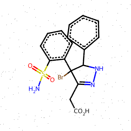 NS(=O)(=O)c1ccccc1C1(Br)C(CC(=O)O)=NNC1c1ccccc1